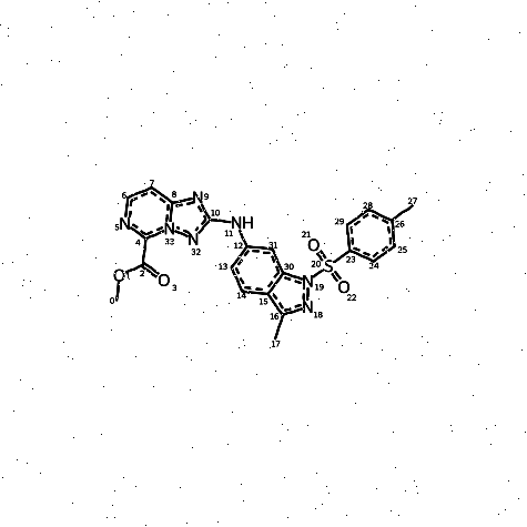 COC(=O)c1nccc2nc(Nc3ccc4c(C)nn(S(=O)(=O)c5ccc(C)cc5)c4c3)nn12